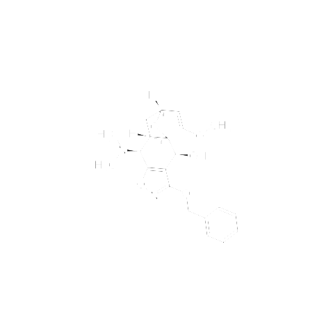 COC1=C[C@H]2C[C@H]3[C@H](N(C)C)c4onc(OCc5ccccc5)c4[C@H](O)[C@@]13O2